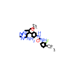 CCOCc1cn2ncnc(N)c2c1-c1ccc(NC(=O)Nc2cccc(C(F)(F)F)c2F)cc1